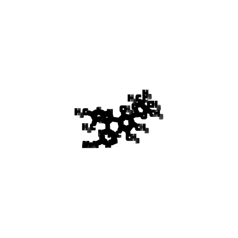 CNc1nccc(-c2c(-c3c(C)c(C)c(C)c(B4OC(C)(C)C(C)(C)O4)c3C)nc3sc(C)c(C)n23)n1